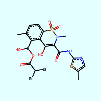 CCC(CC)C(=O)OB(O)c1c(C)ccc2c1C(O)=C(C(=O)Nc1ncc(C)s1)N(C)S2(=O)=O